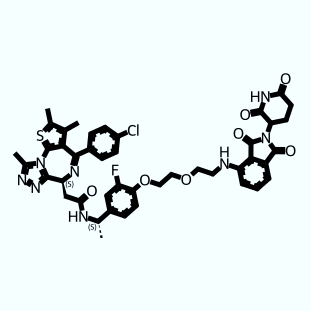 Cc1sc2c(c1C)C(c1ccc(Cl)cc1)=N[C@@H](CC(=O)N[C@@H](C)c1ccc(OCCOCCNc3cccc4c3C(=O)N(C3CCC(=O)NC3=O)C4=O)c(F)c1)c1nnc(C)n1-2